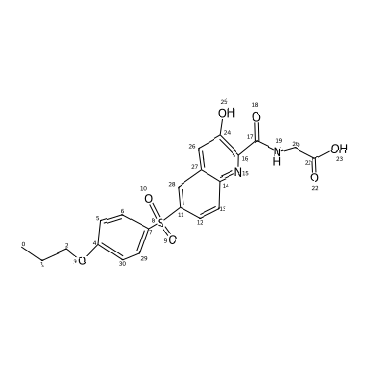 CCCOc1ccc(S(=O)(=O)c2ccc3nc(C(=O)NCC(=O)O)c(O)cc3c2)cc1